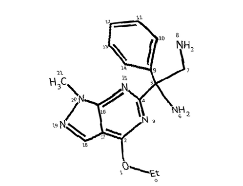 CCOc1nc(C(N)(CN)c2ccccc2)nc2c1cnn2C